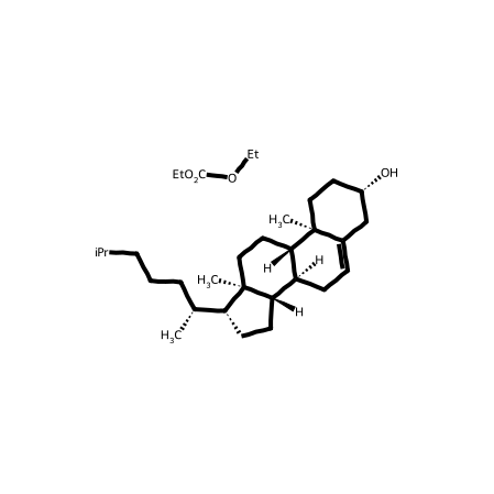 CC(C)CCC[C@@H](C)[C@H]1CC[C@H]2[C@@H]3CC=C4C[C@@H](O)CC[C@]4(C)[C@H]3CC[C@]12C.CCOC(=O)OCC